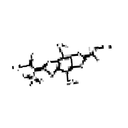 CC(=O)Oc1c2c(c(OC(C)=O)c3c1SC(=C(C(N)=O)S(C)(=O)=O)S3)SC(=C(C)NC=O)S2